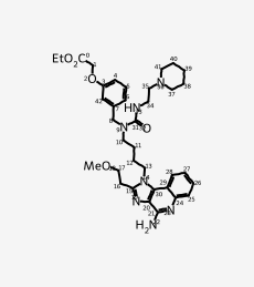 CCOC(=O)COc1cccc(CN(CCCCn2c(CCOC)nc3c(N)nc4ccccc4c32)C(=O)NCCN2CCCCC2)c1